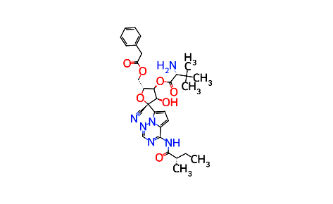 CC[C@H](C)C(=O)Nc1ncnn2c([C@]3(C#N)O[C@H](COC(=O)Cc4ccccc4)[C@@H](OC(=O)[C@H](N)C(C)(C)C)[C@H]3O)ccc12